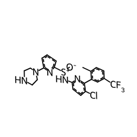 Cc1ccc(C(F)(F)F)cc1-c1nc(N[S+]([O-])c2cccc(N3CCNCC3)n2)ccc1Cl